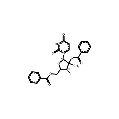 CC1(OC(=O)c2ccccc2)[C@@H](F)C(COC(=O)c2ccccc2)O[C@H]1n1ccc(=O)[nH]c1=S